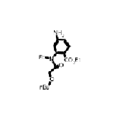 CCCCOCC(=O)N(CC)c1cc(N)ccc1C(=O)OCC